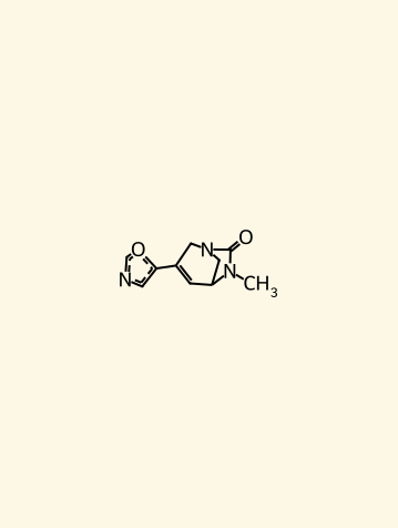 CN1C(=O)N2CC(c3cnco3)=CC1C2